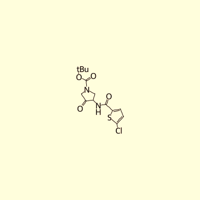 CC(C)(C)OC(=O)N1CC(=O)C(NC(=O)c2ccc(Cl)s2)C1